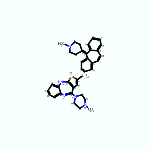 CN1CCC(=C2c3ccccc3C=Cc3ccccc32)CC1.Cc1cc2c(s1)Nc1ccccc1N=C2N1CCN(C)CC1